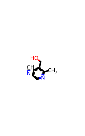 C#N.Cc1ncccc1CO